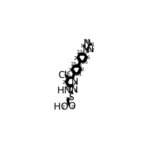 O=C(O)CSc1nc2nc(-c3ccc(-c4ccc(-n5cncn5)cc4)cc3)c(Cl)cc2[nH]1